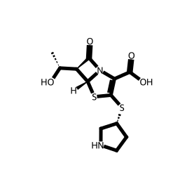 C[C@@H](O)[C@H]1C(=O)N2C(C(=O)O)=C(S[C@@H]3CCNC3)S[C@H]12